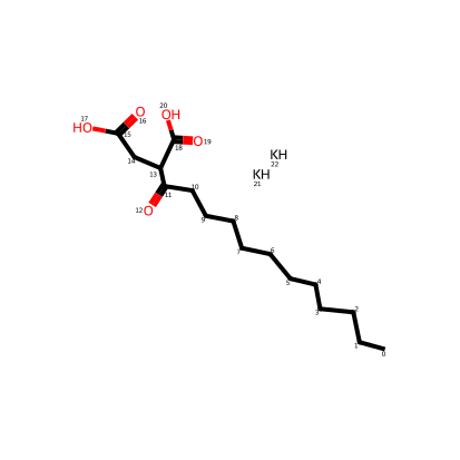 CCCCCCCCCCCC(=O)C(CC(=O)O)C(=O)O.[KH].[KH]